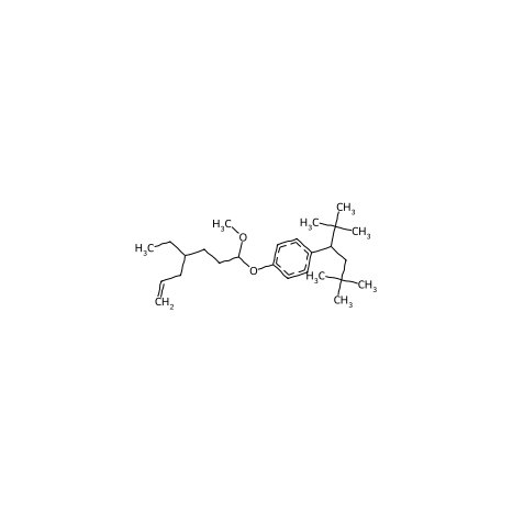 C=CCC(CC)CCC(OC)Oc1ccc(C(CC(C)(C)C)C(C)(C)C)cc1